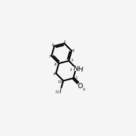 O=C1Nc2ccccc2CC1I